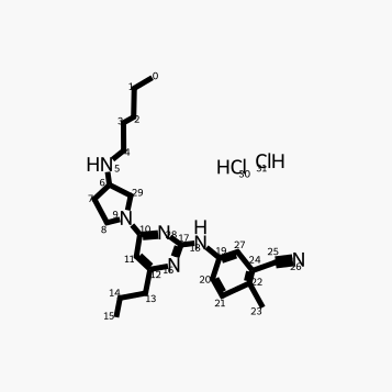 CCCCCNC1CCN(c2cc(CCC)nc(Nc3ccc(C)c(C#N)c3)n2)C1.Cl.Cl